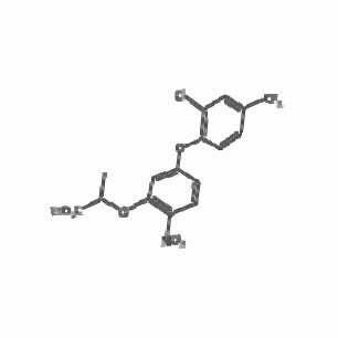 CCOC(=O)C(C)Oc1cc(Oc2ccc(C(F)(F)F)cc2Cl)ccc1[N+](=O)[O-]